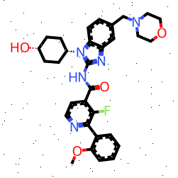 COc1ccccc1-c1nccc(C(=O)Nc2nc3cc(CN4CCOCC4)ccc3n2[C@H]2CC[C@@H](O)CC2)c1F